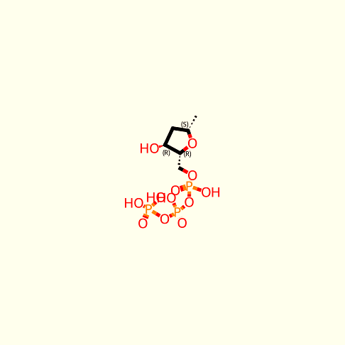 C[C@H]1C[C@@H](O)[C@@H](COP(=O)(O)OP(=O)(O)OP(=O)(O)O)O1